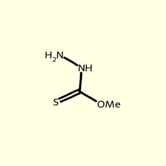 COC(=S)NN